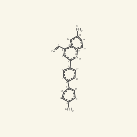 O=Cc1cc(-c2ccc(-c3ccc(P)cc3)cc2)nc2ccc(P)cc12